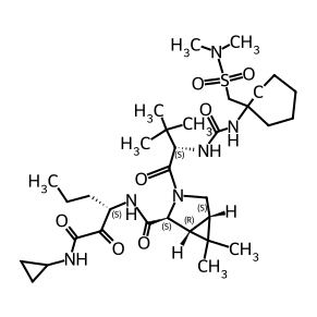 CCC[C@H](NC(=O)[C@@H]1[C@@H]2[C@H](CN1C(=O)[C@@H](NC(=O)NC1(CS(=O)(=O)N(C)C)CCCCC1)C(C)(C)C)C2(C)C)C(=O)C(=O)NC1CC1